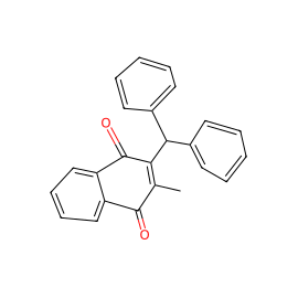 CC1=C(C(c2ccccc2)c2ccccc2)C(=O)c2ccccc2C1=O